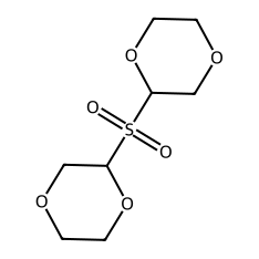 O=S(=O)(C1COCCO1)C1COCCO1